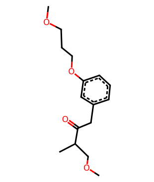 COCCCOc1cccc(CC(=O)C(C)COC)c1